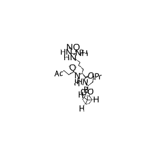 CC(=O)CCC(=O)N[C@@H](CCCNC(=N)N[N+](=O)[O-])C(=O)N[C@@H](CC(C)C)B1O[C@@H]2C[C@@H]3C[C@@H](C3(C)C)[C@]2(C)O1